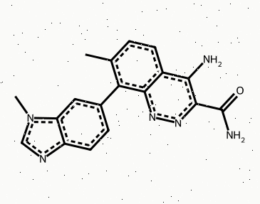 Cc1ccc2c(N)c(C(N)=O)nnc2c1-c1ccc2ncn(C)c2c1